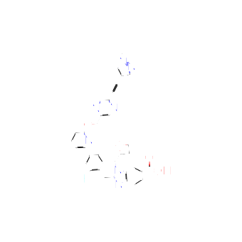 Cn1cc(C#Cc2cnc(COc3cccc(-c4cc(F)c(Cc5nc6ccc(C(=O)O)cc6n5C[C@@H]5CCO5)cc4F)n3)cn2)cn1